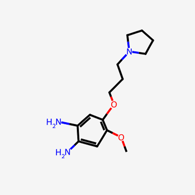 COc1cc(N)c(N)cc1OCCCN1CCCC1